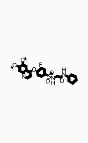 COc1cc2nccc(Oc3ccc(S(=O)(=O)NCC(=O)Nc4ccccc4)cc3F)c2cc1OC